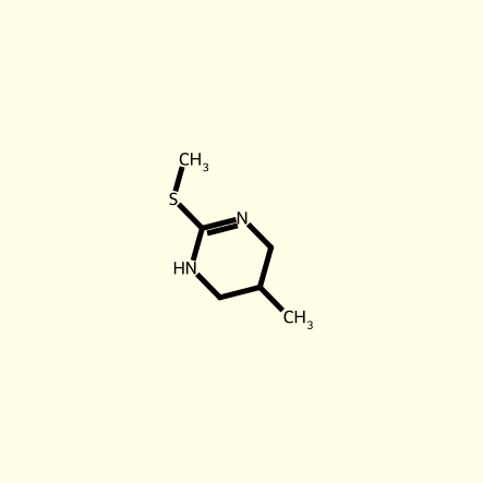 CSC1=NCC(C)CN1